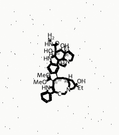 CC[C@]1(O)C[C@H]2C[C@H](c3cc4c(cc3OC)N[C@H]3[C@@](O)(C(=O)NN)[C@H](O)[C@]5(CC)C=CCN6CC[C@]43[C@@H]65)[C@H](C(=O)OC)c3[nH]c4ccccc4c3CCN(C2)C1